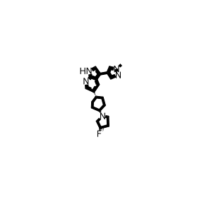 Cn1cc(-c2c[nH]c3ncc([C@H]4CC[C@H](N5CC[C@H](F)C5)CC4)cc23)cn1